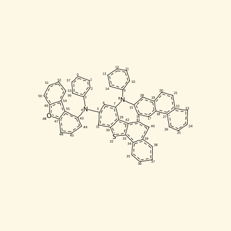 c1ccc(N(c2cc(N(c3ccccc3)c3ccc4c(ccc5ccccc54)c3)c3c(c2)sc2c4ccccc4ccc23)c2cccc3oc4ccccc4c23)cc1